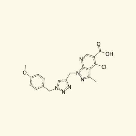 COc1ccc(Cn2cc(Cn3nc(C)c4c(Cl)c(C(=O)O)cnc43)nn2)cc1